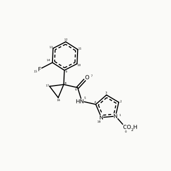 O=C(O)n1ccc(NC(=O)C2(c3ccccc3F)CC2)n1